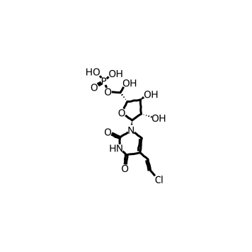 O=c1[nH]c(=O)n([C@@H]2O[C@H](C(O)OP(=O)(O)O)[C@@H](O)[C@@H]2O)cc1/C=C/Cl